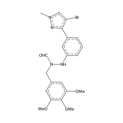 COc1cc(CN(C=O)Nc2cccc(-c3nn(C)cc3Br)c2)cc(OC)c1OC